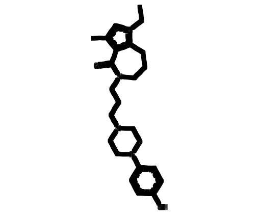 CCn1cc(C)c2c1CCCN(CCCN1CCN(c3ccc(O)cc3)CC1)C2=O